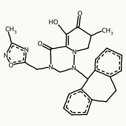 Cc1noc(CN2CN(C3c4ccccc4CCc4ccccc43)N3CC(C)C(=O)C(O)=C3C2=O)n1